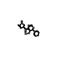 CCOc1c(Nc2cc(C)[nH]n2)ncnc1N1CCCCC1